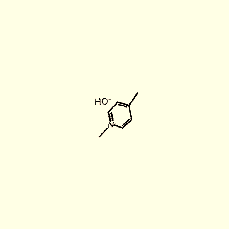 Cc1cc[n+](C)cc1.[OH-]